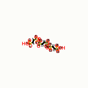 O=S(=O)(O)CCS(=O)(=O)OS(=O)(=O)CCS(=O)(=O)OS(=O)(=O)CCS(=O)(=O)O